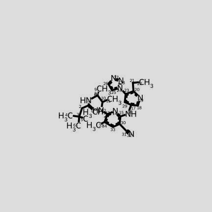 C=C(CC(C)(C)C)N[C@@H](C)C(C)Nc1nc(Nc2cnc(CC)c(-n3ccnn3)c2)c(C#N)cc1C